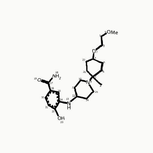 COCCOC1CCC(C)(N2CCC(Nc3cc(C(N)=O)ccc3O)CC2)CC1